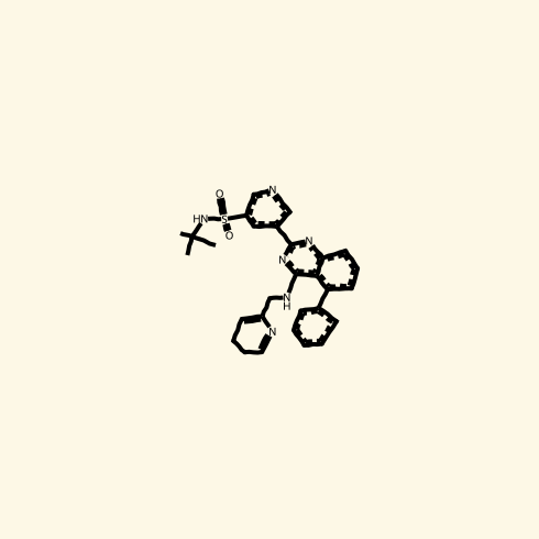 CC(C)(C)NS(=O)(=O)c1cncc(-c2nc(NCC3=CCCC=N3)c3c(-c4ccccc4)cccc3n2)c1